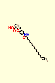 CCCCCCCCCCCCCCCC(=O)Nc1ccc(OCC(C)C(=O)O)cc1